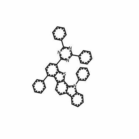 c1ccc(-c2nc(-c3ccccc3)nc(-c3ccc(-c4ccccc4)c4c3sc3c4ccc4c5ccccc5n(-c5ccccc5)c43)n2)cc1